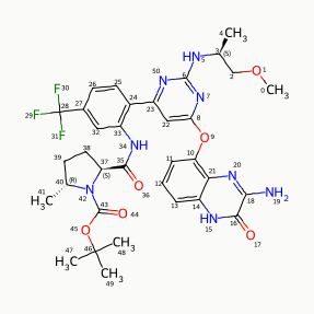 COC[C@H](C)Nc1nc(Oc2cccc3[nH]c(=O)c(N)nc23)cc(-c2ccc(C(F)(F)F)cc2NC(=O)[C@@H]2CC[C@@H](C)N2C(=O)OC(C)(C)C)n1